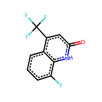 O=c1cc(C(F)(F)F)c2cccc(F)c2[nH]1